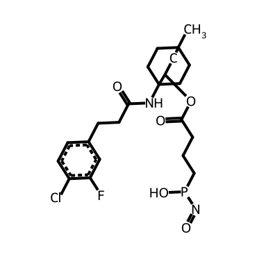 CC12CCC(NC(=O)CCc3ccc(Cl)c(F)c3)(CC1)C(OC(=O)CCCP(O)N=O)C2